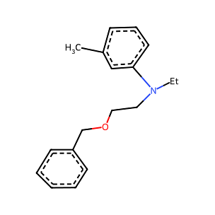 CCN(CCOCc1ccccc1)c1cccc(C)c1